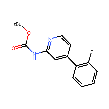 CCc1ccc[c]c1-c1ccnc(NC(=O)OC(C)(C)C)c1